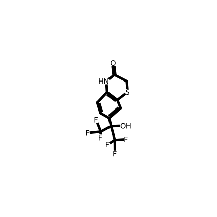 O=C1CSc2cc(C(O)(C(F)(F)F)C(F)(F)F)ccc2N1